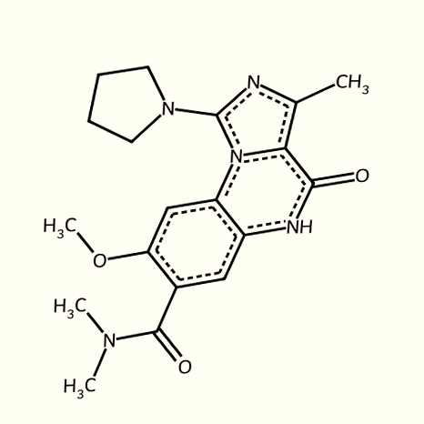 COc1cc2c(cc1C(=O)N(C)C)[nH]c(=O)c1c(C)nc(N3CCCC3)n12